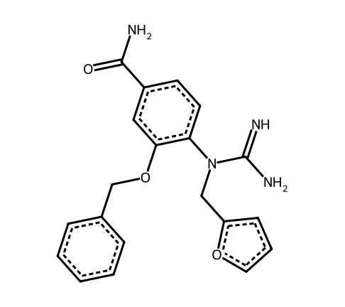 N=C(N)N(Cc1ccco1)c1ccc(C(N)=O)cc1OCc1ccccc1